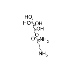 NCCCC[C@H](N)C(=O)OC[C@H](O)C[C@H](O)[C@H](O)CO